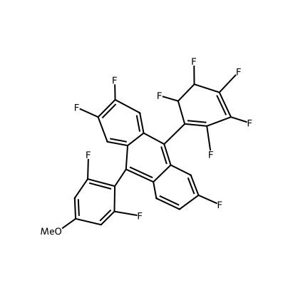 COc1cc(F)c(-c2c3ccc(F)cc3c(C3=C(F)C(F)=C(F)C(F)C3F)c3cc(F)c(F)cc23)c(F)c1